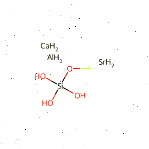 O[Si](O)(O)OF.[AlH3].[CaH2].[SrH2]